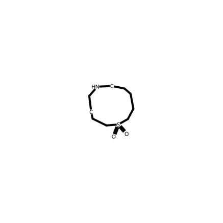 O=S1(=O)CCCCCNCCCC1